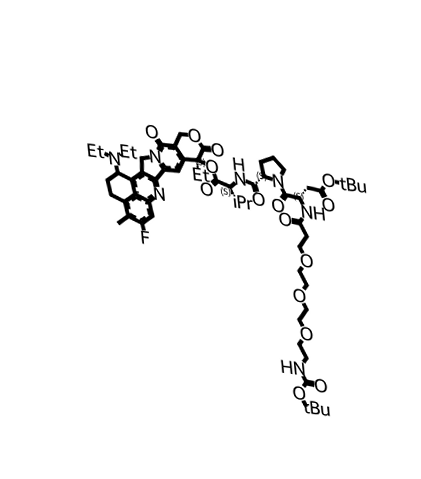 CCN(CC)C1CCc2c(C)c(F)cc3nc4c(c1c23)Cn1c-4cc2c(c1=O)COC(=O)[C@@]2(CC)OC(=O)[C@@H](NC(=O)[C@@H]1CCCN1C(=O)[C@H](CC(=O)OC(C)(C)C)NC(=O)CCOCCOCCOCCNC(=O)OC(C)(C)C)C(C)C